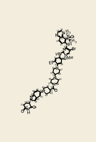 CCc1cc(Nc2ncc(Br)c(Nc3ccc4nccnc4c3P(C)(C)=O)n2)c(OC)cc1N1CCC(N2CCN(C(=O)C3CCN(c4ccc5nn(C6CCC(=O)NC6=O)cc5c4)CC3)CC2)CC1